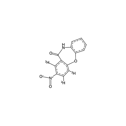 [2H]c1c([2H])c([N+](=O)[O-])c([2H])c2c1Oc1ccccc1NC2=O